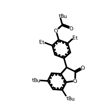 CCc1cc(C2C(=O)Oc3c2cc(C(C)(C)C)cc3C(C)(C)C)cc(CC)c1OC(=O)C(C)(C)C